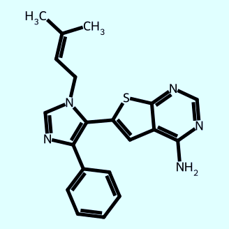 CC(C)=CCn1cnc(-c2ccccc2)c1-c1cc2c(N)ncnc2s1